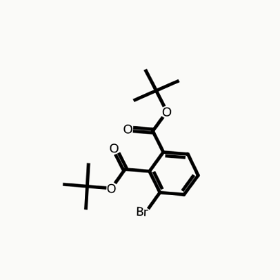 CC(C)(C)OC(=O)c1cccc(Br)c1C(=O)OC(C)(C)C